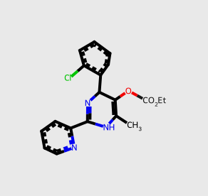 CCOC(=O)OC1=C(C)NC(c2ccccn2)=NC1c1ccccc1Cl